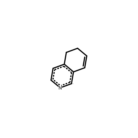 [c]1nccc2c1C=CCC2